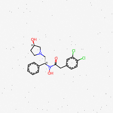 O=C(Cc1ccc(Cl)c(Cl)c1)N(O)[C@@H](CN1CC[C@@H](O)C1)c1ccccc1